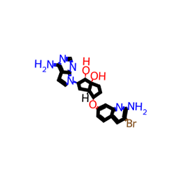 Nc1nc2cc(O[C@H]3CC[C@@]4(O)[C@@H]3C[C@@H](n3ccc5c(N)ncnc53)[C@@H]4O)ccc2cc1Br